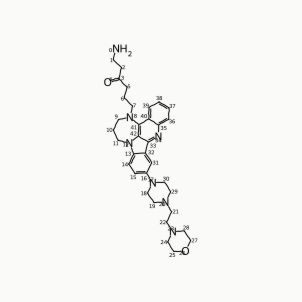 NCCC(=O)CCCN1CCCn2c3ccc(N4CCN(CCN5CCOCC5)CC4)cc3c3nc4ccccc4c1c32